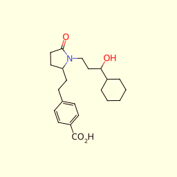 O=C(O)c1ccc(CCC2CCC(=O)N2CCC(O)C2CCCCC2)cc1